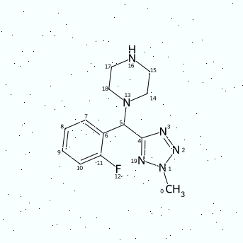 Cn1nnc(C(c2ccccc2F)N2CCNCC2)n1